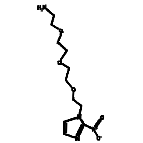 NCCOCCOCCOCCn1ccnc1[N+](=O)[O-]